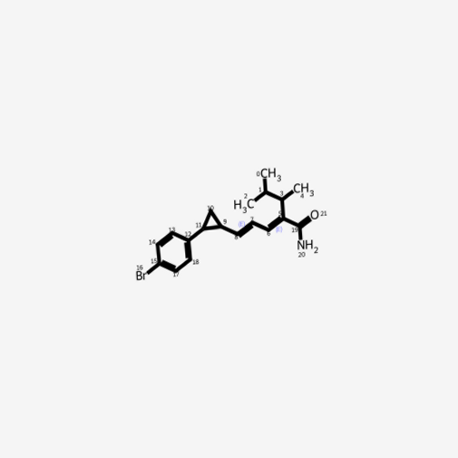 CC(C)C(C)/C(=C\C=C\C1CC1c1ccc(Br)cc1)C(N)=O